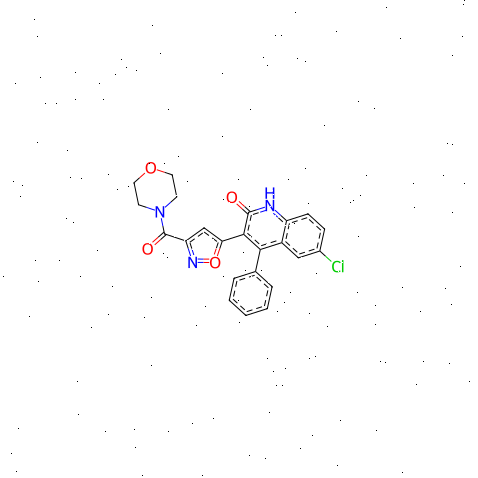 O=C(c1cc(-c2c(-c3ccccc3)c3cc(Cl)ccc3[nH]c2=O)on1)N1CCOCC1